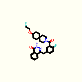 O=C(c1cc(Cc2n[nH]c(=O)c3ccccc23)ccc1F)N1CCC2(CCC(OCCF)CC2)CC1